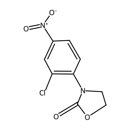 O=C1OCCN1c1ccc([N+](=O)[O-])cc1Cl